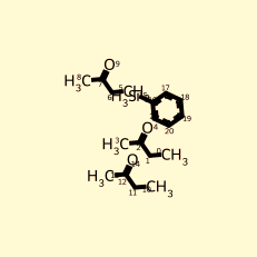 CCC(C)=O.CCC(C)=O.CCC(C)=O.[SiH3]c1ccccc1